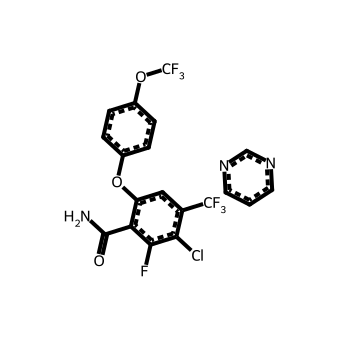 NC(=O)c1c(Oc2ccc(OC(F)(F)F)cc2)cc(C(F)(F)F)c(Cl)c1F.c1cncnc1